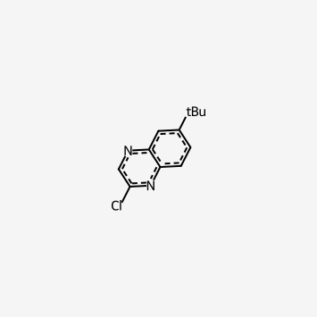 CC(C)(C)c1ccc2nc(Cl)cnc2c1